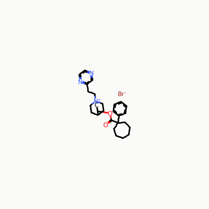 O=C(OC1C[N+]2(CCc3cnccn3)CCC1CC2)C1(c2ccccc2)CCCCCC1.[Br-]